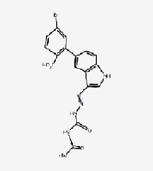 CCCCC(=O)NC(=O)N/N=C/c1c[nH]c2ccc(-c3cc(Br)ccc3C(=O)O)cc12